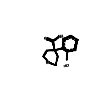 Cc1ccccc1C1(C(N)=O)CCNCC1.Cl